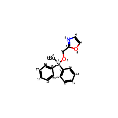 CC(C)(C)[Si](OCc1ncco1)(c1ccccc1)c1ccccc1